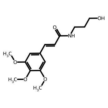 COc1cc(/C=C/C(=O)NCCCO)cc(OC)c1OC